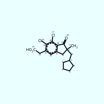 CC1(CC2CCCC2)Cc2cc(CC(=O)O)c(Cl)c(Cl)c2C1=O